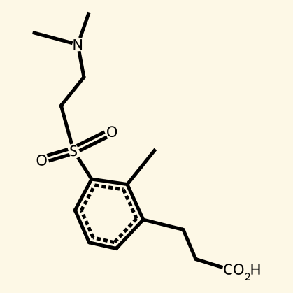 Cc1c(CCC(=O)O)cccc1S(=O)(=O)CCN(C)C